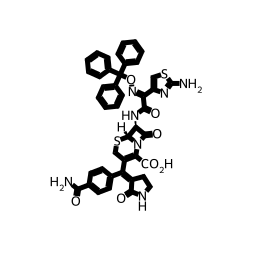 NC(=O)c1ccc(C(=C2CCNC2=O)C2=C(C(=O)O)N3C(=O)[C@@H](NC(=O)C(=NOC(c4ccccc4)(c4ccccc4)c4ccccc4)c4csc(N)n4)[C@H]3SC2)cc1